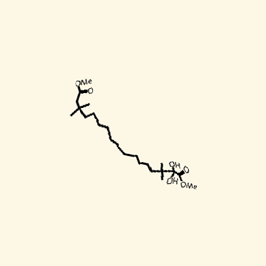 COC(=O)CC(C)(C)CCCCCCCCCCCC(C)(C)C(O)(O)C(=O)OC